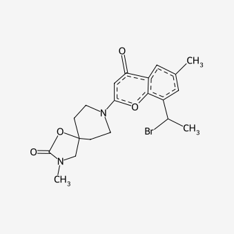 Cc1cc(C(C)Br)c2oc(N3CCC4(CC3)CN(C)C(=O)O4)cc(=O)c2c1